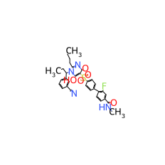 CCCCc1nc(=O)c(S(=O)(=O)c2ccc(-c3ccc(C(=O)NC)cc3F)cc2)c(O)n1C(CC)c1cccc(C#N)c1